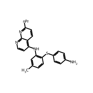 CCCc1ccc2c(Nc3cc(C)ccc3Sc3ccc(N)cc3)ccnc2n1